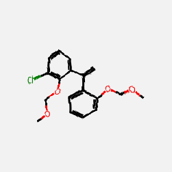 C=C(c1ccccc1OCOC)c1cccc(Cl)c1OCOC